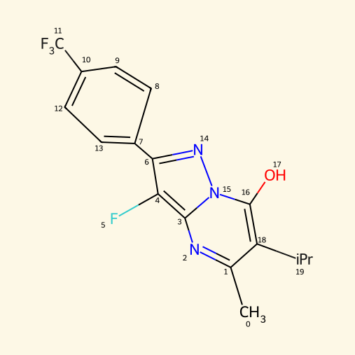 Cc1nc2c(F)c(-c3ccc(C(F)(F)F)cc3)nn2c(O)c1C(C)C